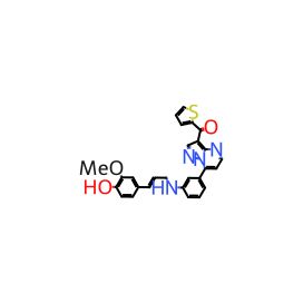 COc1cc(/C=C/CNc2cccc(-c3ccnc4c(C(=O)c5cccs5)cnn34)c2)ccc1O